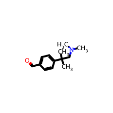 CN(C)CC(C)(C)c1ccc(C=O)cc1